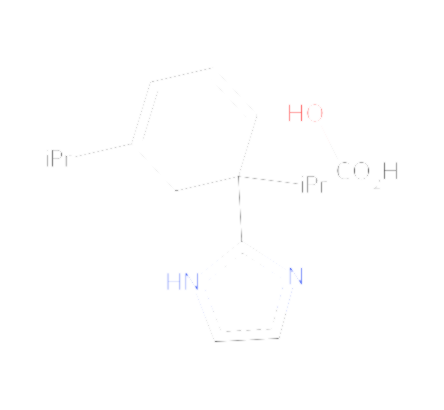 CC(C)C1=CC=CC(c2ncc[nH]2)(C(C)C)C1.O=C(O)O